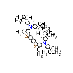 Cc1cc(N(c2ccc(C(C)(C)C)cc2)c2ccc(C(C)(C)C)cc2)cc2c1sc1cc3cc4sc5c(C)cc(N(c6ccc(C(C)(C)C)cc6)c6ccc(C(C)(C)C)cc6)cc5c4cc3cc12